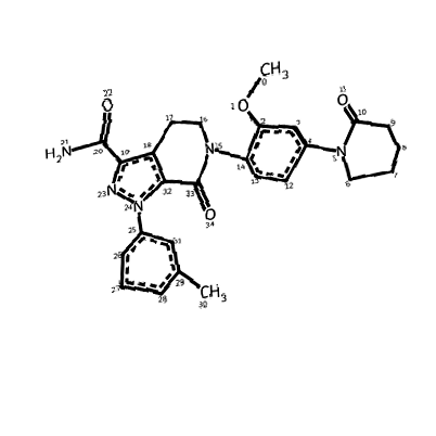 COc1cc(N2CCCCC2=O)ccc1N1CCc2c(C(N)=O)nn(-c3cccc(C)c3)c2C1=O